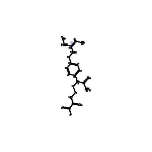 C=C(C)C(=O)OCCN(C(N)=O)c1ccc(CN/C(=N\C(C)C)NC(C)C)cc1